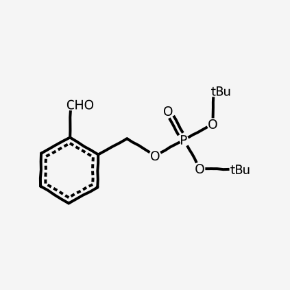 CC(C)(C)OP(=O)(OCc1ccccc1C=O)OC(C)(C)C